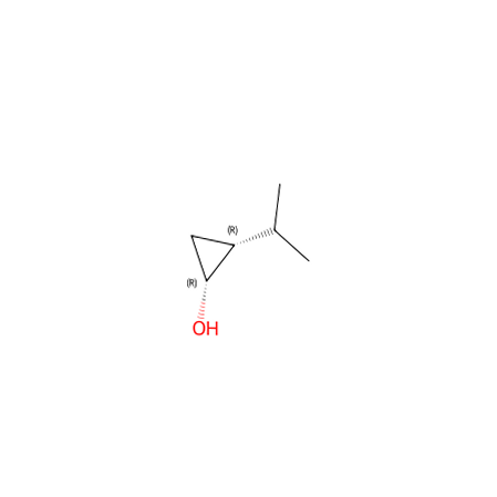 CC(C)[C@H]1C[C@H]1O